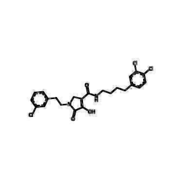 O=C(NCCCCc1ccc(Cl)c(Cl)c1)C1=C(O)C(=O)N(CCc2cccc(Cl)c2)C1